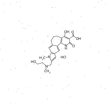 CN(CCO)Cc1cc2cc3c(cc2n1C)CCCc1c-3[nH]c(=O)c(C(=O)O)c1O.Cl